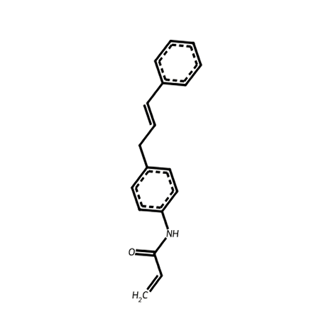 C=CC(=O)Nc1ccc(CC=Cc2ccccc2)cc1